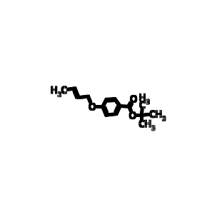 CC=CCOc1ccc(C(=O)OC(C)(C)C)cc1